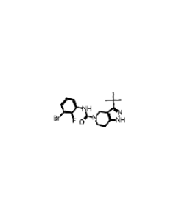 CC(C)(C)c1n[nH]c2c1CN(C(=O)Nc1cccc(Br)c1F)CC2